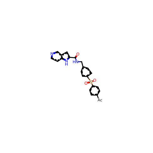 CC(=O)c1ccc(S(=O)(=O)c2ccc(CNC(=O)c3cc4cnccc4[nH]3)cc2)cc1